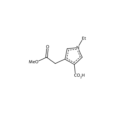 CCn1cc(CC(=O)OC)c(C(=O)O)c1